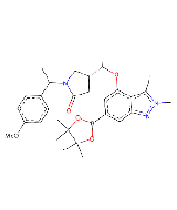 COc1ccc(C(C)N2C[C@H](C(C)Oc3cc(B4OC(C)(C)C(C)(C)O4)cc4nn(C)c(C)c34)CC2=O)cc1